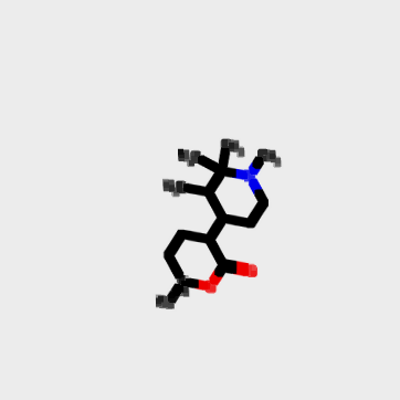 CCC(C)[SiH]1CCC(C2CCN(C)C(C)(C)C2C)C(=O)O1